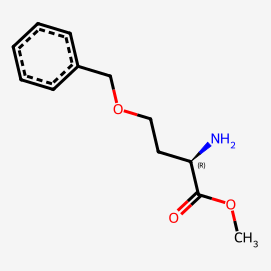 COC(=O)[C@H](N)CCOCc1ccccc1